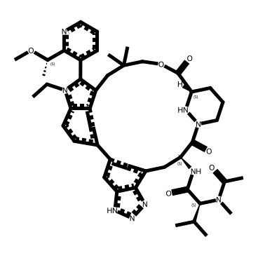 CCn1c(-c2cccnc2[C@H](C)OC)c2c3cc(ccc31)-c1cc(c3nn[nH]c3c1)C[C@H](NC(=O)[C@H](C(C)C)N(C)C(C)=O)C(=O)N1CCC[C@H](N1)C(=O)OCC(C)(C)C2